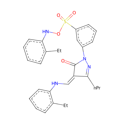 CCCC1=NN(c2cccc(S(=O)(=O)ONc3ccccc3CC)c2)C(=O)C1=CNc1ccccc1CC